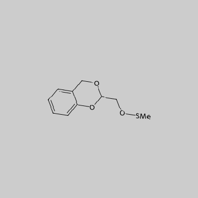 CSOCC1OCc2ccccc2O1